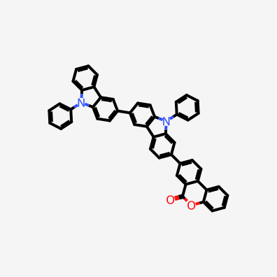 O=c1oc2ccccc2c2ccc(-c3ccc4c5cc(-c6ccc7c(c6)c6ccccc6n7-c6ccccc6)ccc5n(-c5ccccc5)c4c3)cc12